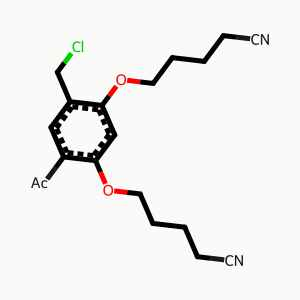 CC(=O)c1cc(CCl)c(OCCCCC#N)cc1OCCCCC#N